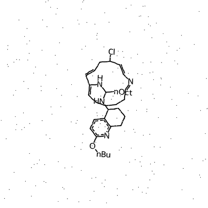 CCCCCCCCC(NC1=C\CCCC/C=N/C=C/C(Cl)C\C=C\1)NC1CCCc2nc(OCCCC)ccc21